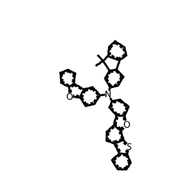 CC1(C)c2ccccc2-c2ccc(N(c3ccc4oc5ccccc5c4c3)c3ccc4oc5c(ccc6c7ccccc7sc65)c4c3)cc21